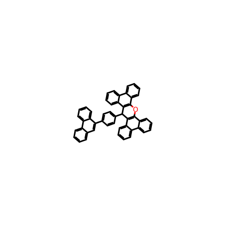 c1ccc2c(c1)cc(-c1ccc(C3c4c(c5ccccc5c5ccccc45)Oc4c3c3ccccc3c3ccccc43)cc1)c1ccccc12